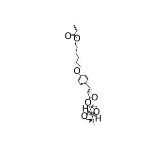 C=CC(=O)OCCCCCCOc1ccc(/C=C/C(=O)O[C@@H]2CO[C@H]3[C@@H]2OC[C@H]3C)cc1